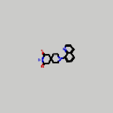 O=C1CC2(CCN(c3cccc4cccnc34)CC2)CC(=O)N1